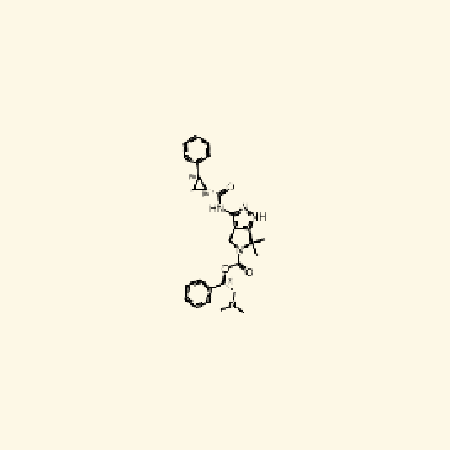 CN(C)C[C@@H](OC(=O)N1Cc2c(NC(=O)[C@@H]3C[C@H]3c3ccccc3)n[nH]c2C1(C)C)c1ccccc1